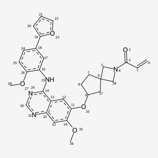 C=CC(=O)N1CC2(CCC(Oc3cc4c(Nc5cc(-c6ccco6)ccc5OC)ncnc4cc3OC)C2)C1